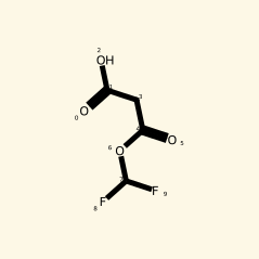 O=C(O)CC(=O)OC(F)F